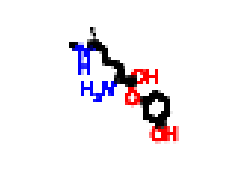 CN[C@H](C)CCC[C@@H](N)[C@H](O)O[C@@H]1CCC[C@H](O)C1